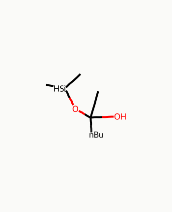 CCCCC(C)(O)O[SiH](C)C